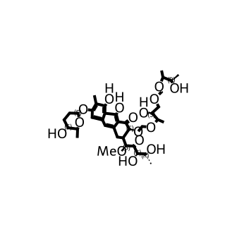 CO[C@H](C(=O)[C@@H](O)[C@@H](C)O)C1Cc2cc3cc(O[C@H]4CC[C@H](O)C(C)O4)c(C)c(O)c3c(O)c2C(=O)[C@H]1OCOC(C)[C@@H](O)COCOC(C)[C@@H](C)O